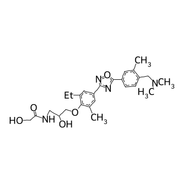 CCc1cc(-c2noc(-c3ccc(CN(C)C)c(C)c3)n2)cc(C)c1OCC(O)CNC(=O)CO